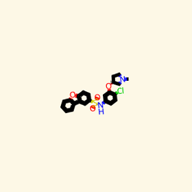 CN1CC[C@H](Oc2cc(NS(=O)(=O)c3ccc4oc5ccccc5c4c3)ccc2Cl)C1